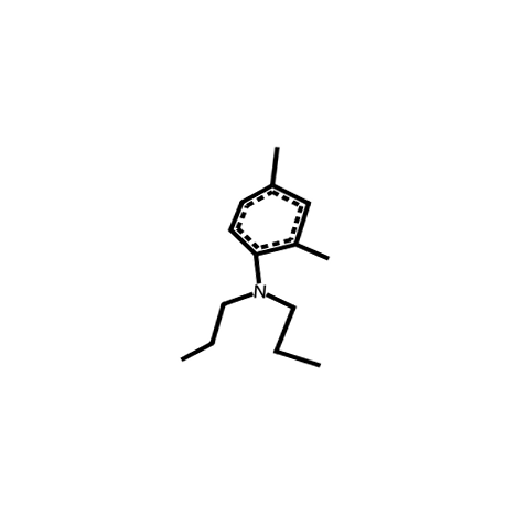 CCCN(CCC)c1ccc(C)cc1C